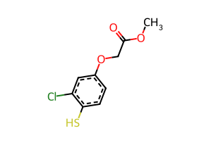 COC(=O)COc1ccc(S)c(Cl)c1